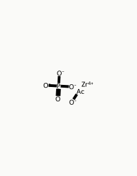 CC(=O)[O-].O=P([O-])([O-])[O-].[Zr+4]